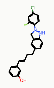 Oc1cccc(/C=C/CCc2ccc3c(c2)CN(c2ccc(Cl)cc2F)N3)c1